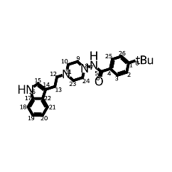 CC(C)(C)c1ccc(C(=O)NN2CCN(CCc3c[nH]c4ccccc34)CC2)cc1